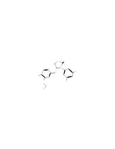 CCOc1cc(C[C@H]2CSC(=O)N2c2cc(Cl)cc(Cl)c2)ccc1F